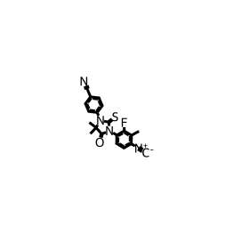 [C-]#[N+]c1ccc(N2C(=O)C(C)(C)N(c3ccc(C#N)cc3)C2=S)c(F)c1C